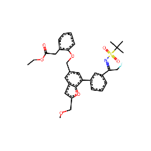 CCOC(=O)Cc1ccccc1OCc1cc(-c2cccc(C(CF)=NS(=O)(=O)C(C)(C)C)c2)c2oc(COC)cc2c1